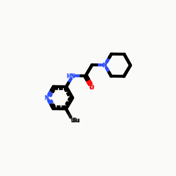 CC(C)(C)c1cncc(NC(=O)CN2CCCCC2)c1